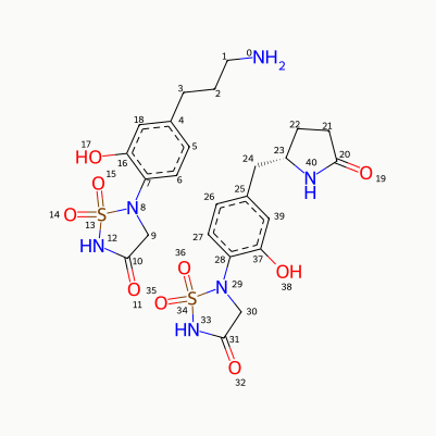 NCCCc1ccc(N2CC(=O)NS2(=O)=O)c(O)c1.O=C1CC[C@@H](Cc2ccc(N3CC(=O)NS3(=O)=O)c(O)c2)N1